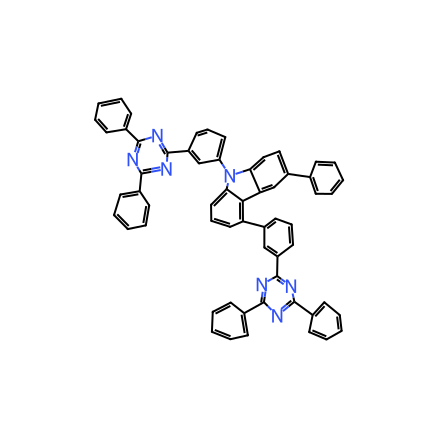 c1ccc(-c2ccc3c(c2)c2c(-c4cccc(-c5nc(-c6ccccc6)nc(-c6ccccc6)n5)c4)cccc2n3-c2cccc(-c3nc(-c4ccccc4)nc(-c4ccccc4)n3)c2)cc1